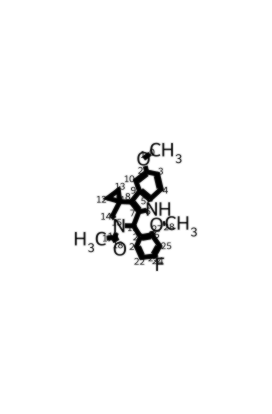 COc1ccc2[nH]c3c(c2c1)C1(CC1)CN(C(C)=O)C3c1ccc(F)cc1OC